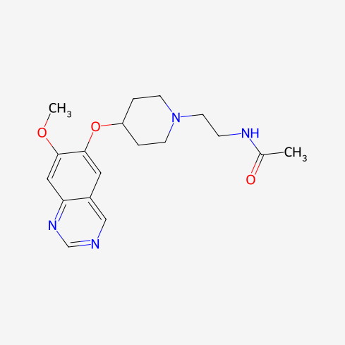 COc1cc2ncncc2cc1OC1CCN(CCNC(C)=O)CC1